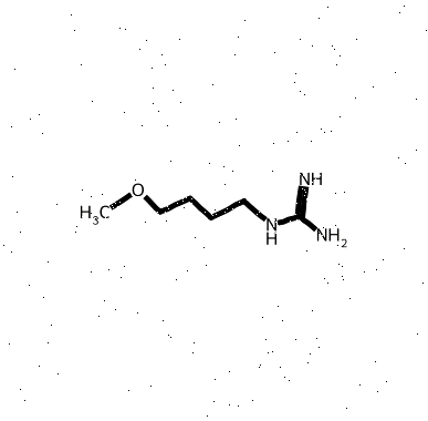 COCCCCNC(=N)N